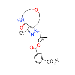 CCc1nn(C[C@@H](C)COC(=O)c2cccc(C(=O)O)c2)c2c1C(=O)NCCCOCCC2